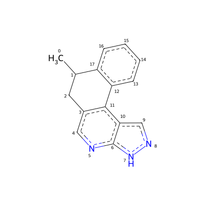 CC1Cc2cnc3[nH]ncc3c2-c2ccccc21